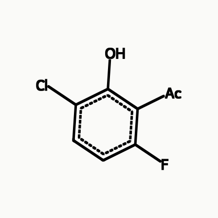 CC(=O)c1c(F)ccc(Cl)c1O